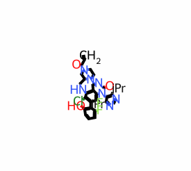 C=CC(=O)N1CCN2c3nc(=O)n(-c4c(C(C)C)ncnc4C(C)C)c4c(F)c(-c5c(O)cccc5F)c(Cl)c(c34)NCC2C1